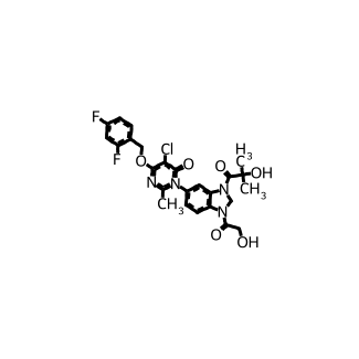 Cc1nc(OCc2ccc(F)cc2F)c(Cl)c(=O)n1-c1ccc2c(c1)N(C(=O)C(C)(C)O)CN2C(=O)CO